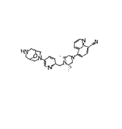 C[C@@H]1CN(c2ccc(C#N)c3ncccc23)C[C@H](C)N1Cc1ccc(N2CC3CNCC(C2)O3)cn1